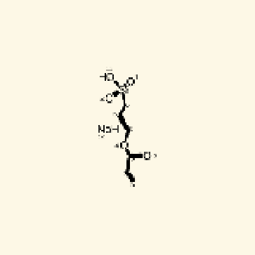 C=CC(=O)OC=CCS(=O)(=O)O.[NaH]